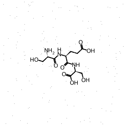 N[C@@H](CO)C(=O)N[C@@H](CCC(=O)O)C(=O)N[C@@H](CO)C(=O)O